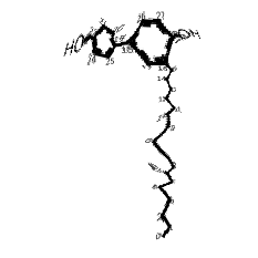 CCCCCCCCCCCCCCCCc1cc(-c2ccc(O)cc2)ccc1O